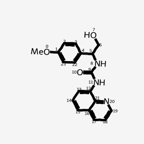 COc1ccc(C(CO)NC(=O)Nc2cccc3cccnc23)cc1